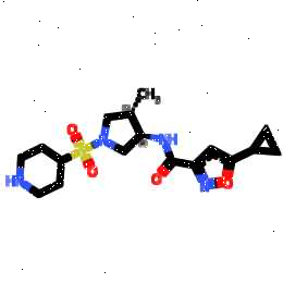 C[C@H]1CN(S(=O)(=O)C2CCNCC2)C[C@@H]1NC(=O)c1cc(C2CC2)on1